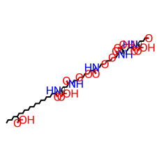 CCCCC(CCCCCCCCCCCCCC(=O)N[C@@H](CCC(=O)NCCOCCOCC(=O)NCCOCCOCC(=O)N[C@@H](CCC(=O)N[C@@H](CCC=O)C(=O)O)C(=O)O)C(=O)O)C(=O)O